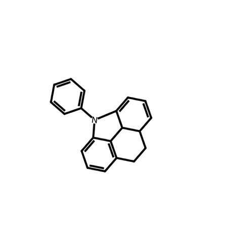 C1=CC2CCc3cccc4c3C2C(=C1)N4c1ccccc1